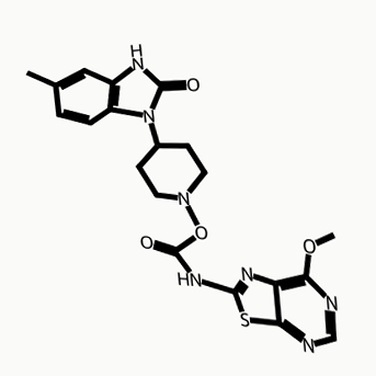 COc1ncnc2sc(NC(=O)ON3CCC(n4c(=O)[nH]c5cc(C)ccc54)CC3)nc12